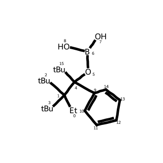 CCC(C(C)(C)C)(C(C)(C)C)C(OB(O)O)(c1ccccc1)C(C)(C)C